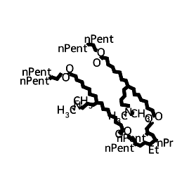 CCCCCC(CCCCC)CCOC(=O)CCCCCCCC(CCCCCCCC(=O)OCCC(CCCCC)CC(CCC)C(CC)CCC(CCCCC)CCOC(=O)CCCCCCCC(CCCCCCCC(=O)OCCC(CCCCC)CCCCC)CCCN(C)C)CCCCCN(C)C